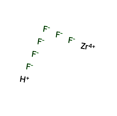 [F-].[F-].[F-].[F-].[F-].[F-].[H+].[Zr+4]